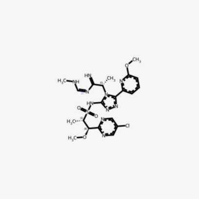 CN/C=N\C(=N)[C@H](C)n1c(NS(=O)(=O)[C@@H](C)[C@H](OC)c2ncc(Cl)cn2)nnc1-c1cccc(OC)n1